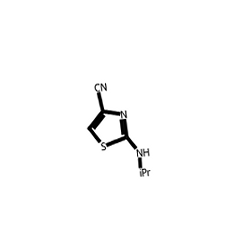 CC(C)Nc1nc(C#N)cs1